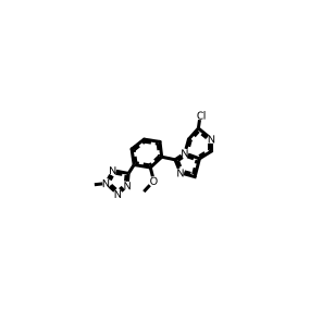 COc1c(-c2nnn(C)n2)cccc1-c1ncc2cnc(Cl)cn12